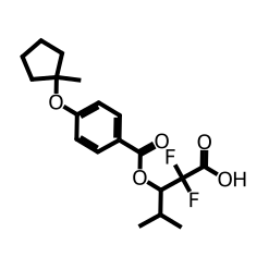 CC(C)C(OC(=O)c1ccc(OC2(C)CCCC2)cc1)C(F)(F)C(=O)O